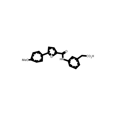 COc1ccc(-c2ccc(C(=O)Nc3cccc(CC(=O)O)c3)o2)cc1